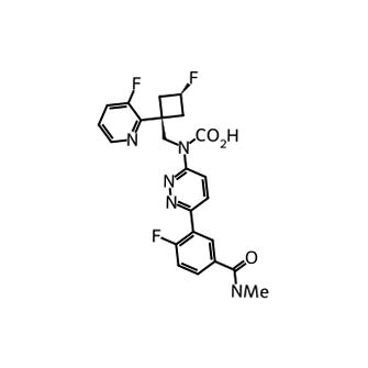 CNC(=O)c1ccc(F)c(-c2ccc(N(C[C@]3(c4ncccc4F)C[C@H](F)C3)C(=O)O)nn2)c1